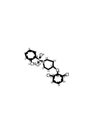 N#Cc1ccccc1S(=O)(=O)N1CCC(Oc2c(Cl)cccc2Cl)CC1